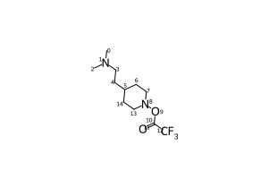 CN(C)CCC1CCN(OC(=O)C(F)(F)F)CC1